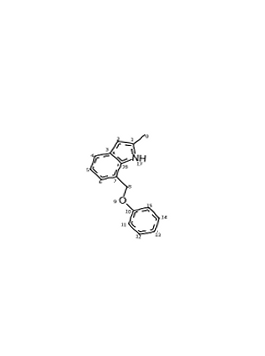 Cc1cc2cccc(COc3cc[c]cc3)c2[nH]1